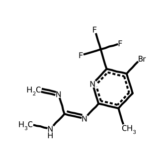 C=N/C(=N\c1nc(C(F)(F)F)c(Br)cc1C)NC